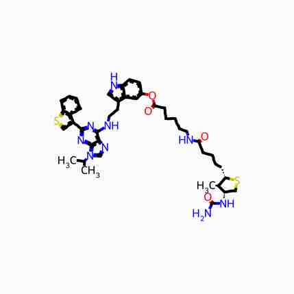 CC(C)n1cnc2c(NCCc3c[nH]c4ccc(OC(=O)CCCCCNC(=O)CCCC[C@@H]5SC[C@H](NC(N)=O)[C@@H]5C)cc34)nc(-c3csc4ccccc34)nc21